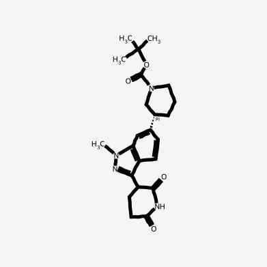 Cn1nc(C2CCC(=O)NC2=O)c2ccc([C@H]3CCCN(C(=O)OC(C)(C)C)C3)cc21